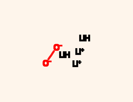 [Li+].[Li+].[LiH].[LiH].[O-][O-]